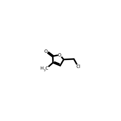 CC1=CC(CCl)OC1=O